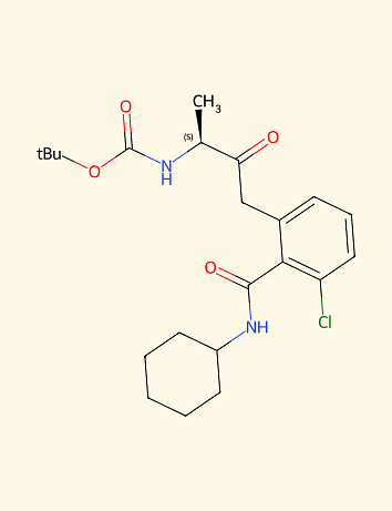 C[C@H](NC(=O)OC(C)(C)C)C(=O)Cc1cccc(Cl)c1C(=O)NC1CCCCC1